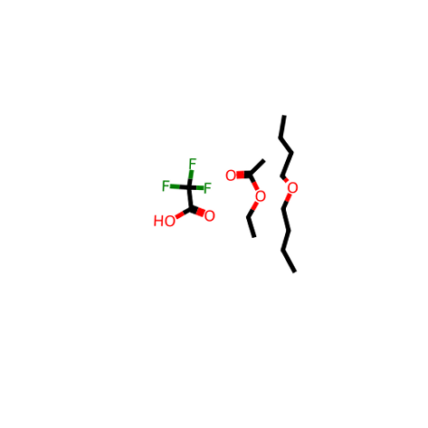 CCCCOCCCC.CCOC(C)=O.O=C(O)C(F)(F)F